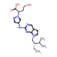 CC[C@H](Cn1ccc2cnc(Nc3cnn(C(CCO)C(=O)O)c3)nc21)C(C)C